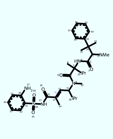 CNC(C(=O)NC(C)(C(=O)N(C)C(/C=C(\C)C(=O)NS(=O)(=O)c1ccccc1N)C(C)C)C(C)C)C(C)(C)c1ccccc1